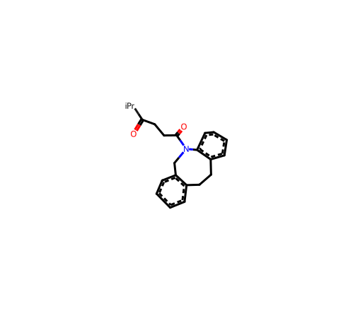 CC(C)C(=O)CCC(=O)N1Cc2ccccc2CCc2ccccc21